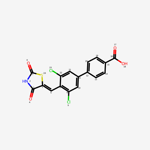 O=C1NC(=O)C(=Cc2c(Cl)cc(-c3ccc(C(=O)O)cc3)cc2Cl)S1